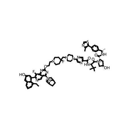 CCc1cccc2cc(O)cc(-c3ncc4c(N5CC6CCC(C5)N6)nc(OCCN5CCC(F)(CN6CCN(c7cnc(C(=O)N[C@H](C(=O)N8C[C@H](O)C[C@H]8C(=O)N[C@@H](C)c8ccc(-c9scnc9C)cc8)C(C)(C)C)cn7)CC6)CC5)nc4c3F)c12